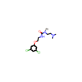 CC(C)N(CCN(C)C)C(=O)NCCOc1cc(Cl)cc(Cl)c1